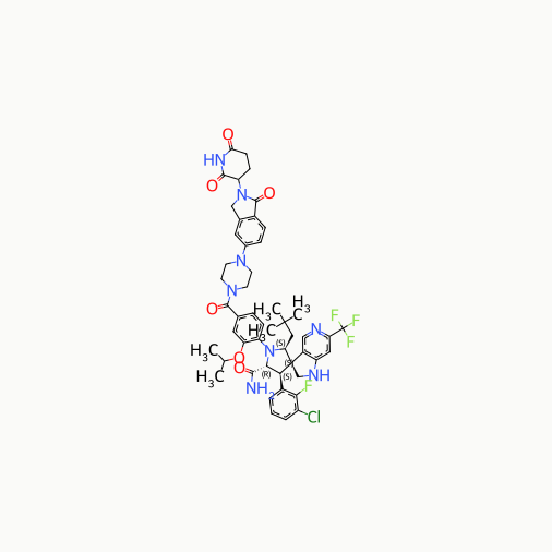 CC(C)Oc1cc(C(=O)N2CCN(c3ccc4c(c3)CN(C3CCC(=O)NC3=O)C4=O)CC2)ccc1N1[C@@H](CC(C)(C)C)[C@@]2(CNc3cc(C(F)(F)F)ncc32)[C@@H](c2cccc(Cl)c2F)[C@@H]1C(N)=O